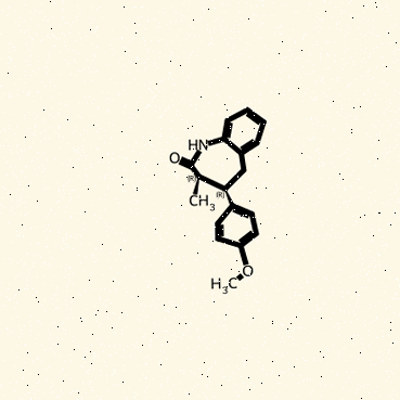 COc1ccc([C@@H]2Cc3ccccc3NC(=O)[C@@H]2C)cc1